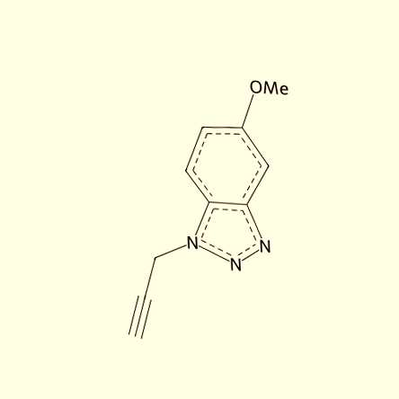 C#CCn1nnc2cc(OC)ccc21